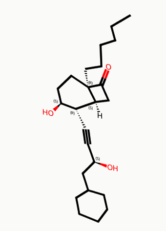 CCCCCC[C@@]12CC[C@H](O)[C@@H](C#C[C@@H](O)CC3CCCCC3)[C@@H]1CC2=O